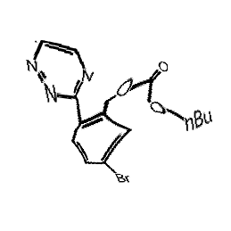 CCCCOC(=O)Oc1cc(Br)ccc1-c1nc[c]nn1